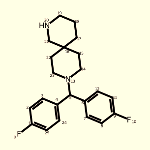 Fc1ccc(C(c2ccc(F)cc2)N2CCC3(CCCNC3)CC2)cc1